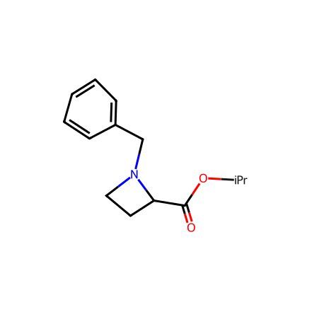 CC(C)OC(=O)C1CCN1Cc1ccccc1